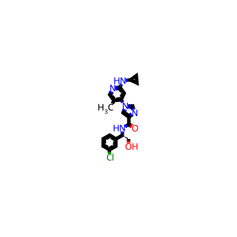 Cc1cnc(NC2CC2)cc1-n1cnc(C(=O)N[C@H](CO)c2cccc(Cl)c2)c1